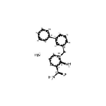 Br.N=c1c(C(N)=O)cccn1Cc1cccc(-c2ccccc2)c1